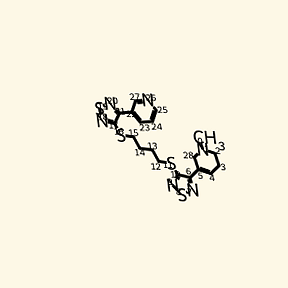 CN1CCC=C(c2nsnc2SCCCCSc2nsnc2-c2cccnc2)C1